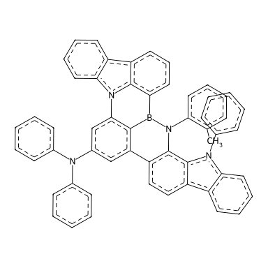 Cc1ccccc1N1B2c3c(cc(N(c4ccccc4)c4ccccc4)cc3-n3c4ccccc4c4cccc2c43)-c2ccc3c4ccccc4n(-c4ccccc4)c3c21